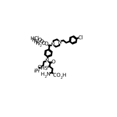 CC(C)OCCN(C(=O)[C@H](S)CC(N)C(=O)O)c1ccc(C(=O)N2CCN(CCc3ccc(Cl)cc3)CC2)cc1.Cl.O.O.O